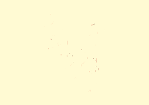 Cc1ccc(C(F)(F)CNC(=O)c2c(Sc3cccc(C(F)(F)F)c3)nnc3c2CCCC3)c(C)c1